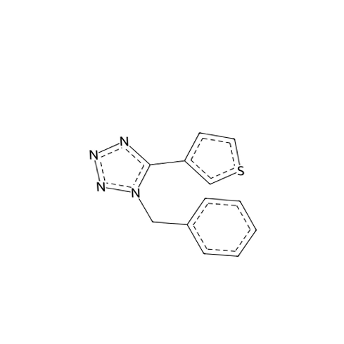 c1ccc(Cn2nnnc2-c2ccsc2)cc1